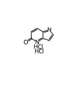 Cl.Cl.O=C1C=CC2=NC=CC2=N1